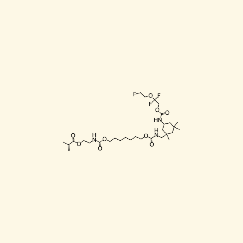 C=C(C)C(=O)OCCNC(=O)OCCCCCCCOC(=O)NCC1(C)CC(NC(=O)OCC(F)(F)OCCF)CC(C)(C)C1